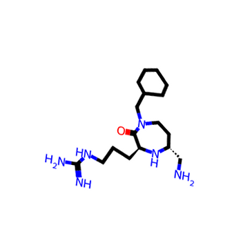 N=C(N)NCCC[C@@H]1N[C@@H](CN)CCN(CC2CCCCC2)C1=O